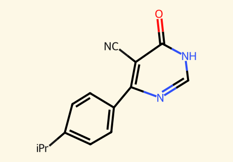 CC(C)c1ccc(-c2nc[nH]c(=O)c2C#N)cc1